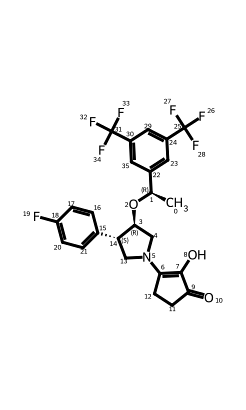 C[C@@H](O[C@H]1CN(C2=C(O)C(=O)CC2)C[C@@H]1c1ccc(F)cc1)c1cc(C(F)(F)F)cc(C(F)(F)F)c1